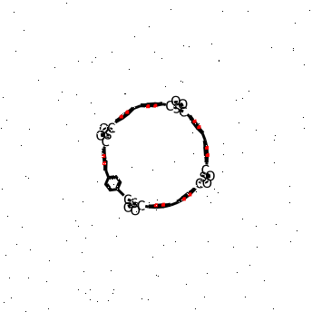 O=S1(=O)Cc2ccc(cc2)-c2ccc(cc2)CS(=O)(=O)Cc2ccc(cc2)-c2ccc(cc2)CS(=O)(=O)Cc2ccc(cc2)-c2ccc(cc2)CS(=O)(=O)Cc2ccc(cc2)-c2ccc(cc2)C1